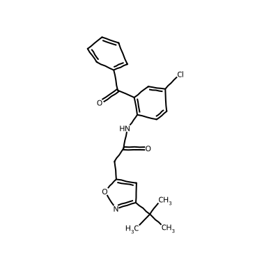 CC(C)(C)c1cc(CC(=O)Nc2ccc(Cl)cc2C(=O)c2ccccc2)on1